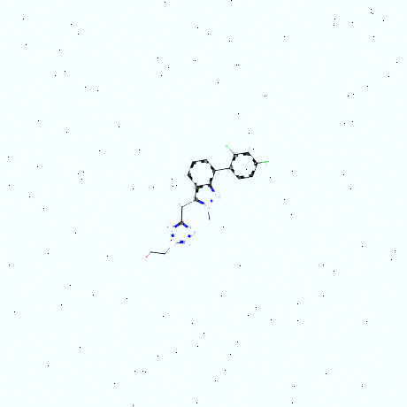 Cn1nc2c(-c3ccc(Cl)cc3Cl)cccc2c1Cc1nnn(CCO)n1